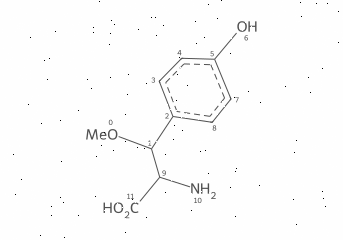 COC(c1ccc(O)cc1)C(N)C(=O)O